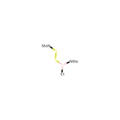 CCB(NC)SSNC